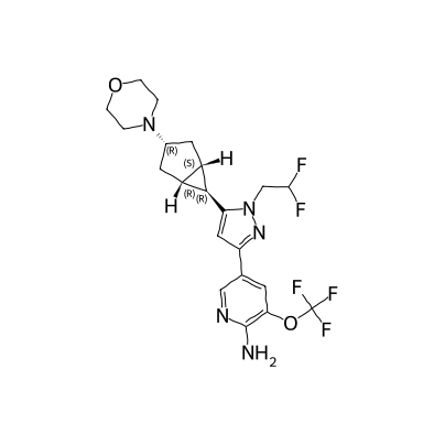 Nc1ncc(-c2cc([C@H]3[C@@H]4C[C@H](N5CCOCC5)C[C@@H]43)n(CC(F)F)n2)cc1OC(F)(F)F